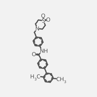 Cc1ccc(C)c(-c2ccc(C(=O)Nc3ccc(CN4CCS(=O)(=O)CC4)cc3)cc2)c1